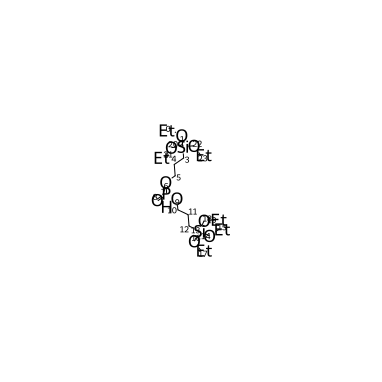 CCO[Si](CCCO[PH](=O)OCCC[Si](OCC)(OCC)OCC)(OCC)OCC